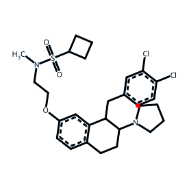 CN(CCOc1ccc2c(c1)C(Cc1ccc(Cl)c(Cl)c1)C(N1CCCC1)CC2)S(=O)(=O)C1CCC1